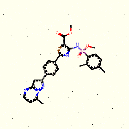 COC(=O)c1sc(-c2ccc(-c3cc4nccc(C)n4n3)cc2)nc1NP(=O)(OC)c1ccc(C)cc1C